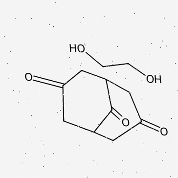 O=C1CC2CC(=O)CC(C1)C2=O.OCCO